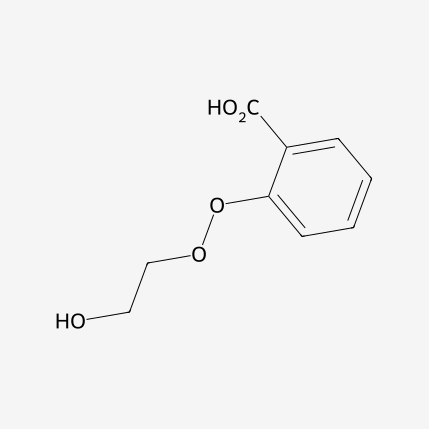 O=C(O)c1ccccc1OOCCO